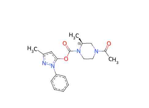 CC(=O)N1CCN(C(=O)Oc2cc(C)nn2-c2ccccc2)[C@@H](C)C1